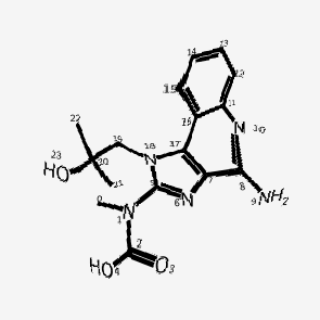 CN(C(=O)O)c1nc2c(N)nc3ccccc3c2n1CC(C)(C)O